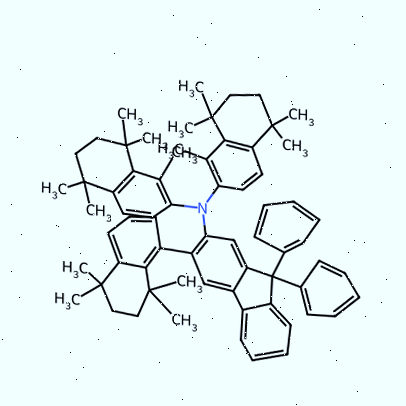 Cc1c(N(c2cc3c(cc2-c2cccc4c2C(C)(C)CCC4(C)C)-c2ccccc2C3(c2ccccc2)c2ccccc2)c2ccc3c(c2C)C(C)(C)CCC3(C)C)ccc2c1C(C)(C)CCC2(C)C